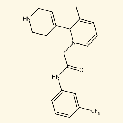 CC1=CC=CN(CC(=O)Nc2cccc(C(F)(F)F)c2)C1C1=CCNCC1